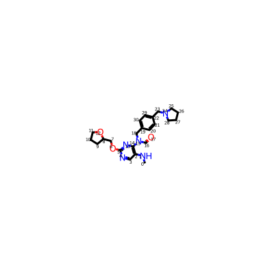 CNc1cnc(OCC2CCCO2)nc1N(C=O)Cc1ccc(CN2CCCC2)cc1